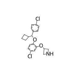 Clc1ccc(C(Oc2ccc(Cl)cc2OC2CNC2)C2CCC2)cc1